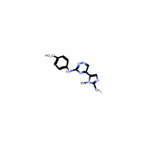 Cc1ncc(-c2cnnc(Nc3ccc(C(=O)O)cc3)n2)n1C(C)C